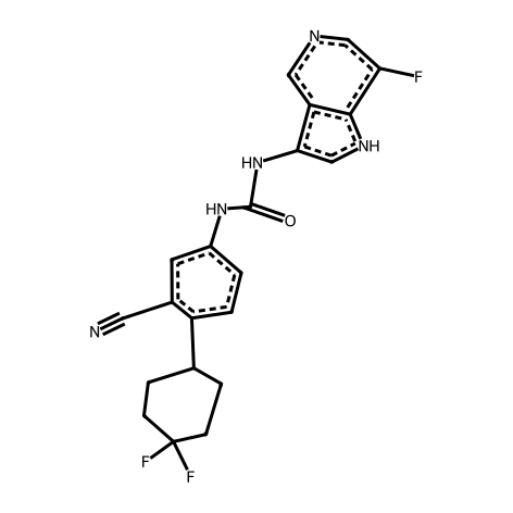 N#Cc1cc(NC(=O)Nc2c[nH]c3c(F)cncc23)ccc1C1CCC(F)(F)CC1